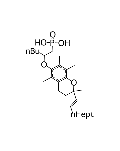 CCCCCCCC=CC1(C)CCc2c(C)c(OC(CCCC)CP(=O)(O)O)c(C)c(C)c2O1